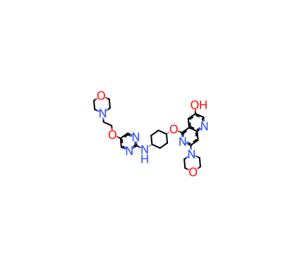 Oc1cnc2cc(N3CCOCC3)nc(O[C@H]3CC[C@@H](Nc4ncc(OCCN5CCOCC5)cn4)CC3)c2c1